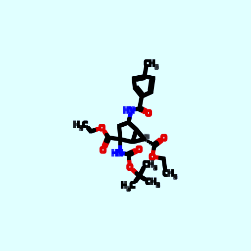 CCOC(=O)[C@H]1C2C(NC(=O)c3ccc(C)cc3)CC(NC(=O)OC(C)(C)C)(C(=O)OCC)C21